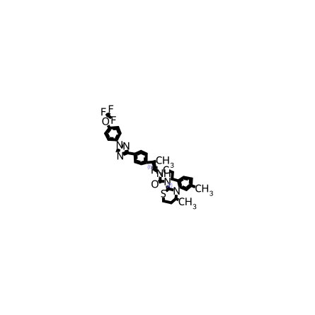 CCCc1ccc(C)cc1N1/C(=N/C(=O)N/C=C(\C)c2ccc(-c3ncn(-c4ccc(OC(F)(F)F)cc4)n3)cc2)SCCC1C